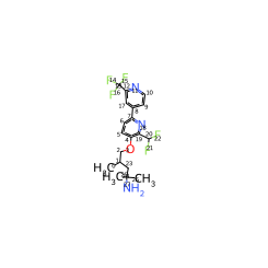 CC(COc1ccc(-c2ccnc(C(F)(F)F)c2)nc1C(F)F)CC(C)(C)N